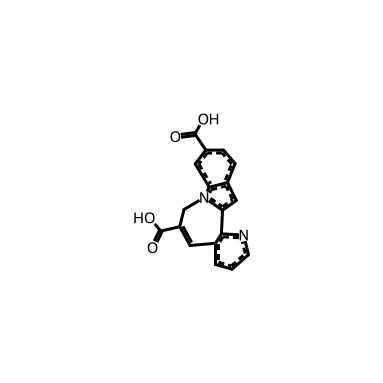 O=C(O)C1=Cc2cccnc2-c2cc3ccc(C(=O)O)cc3n2C1